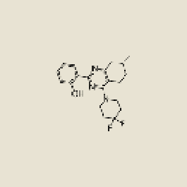 C[C@@H]1CCc2c(nc(-c3ccccc3O)nc2N2CCC(F)(F)CC2)C1